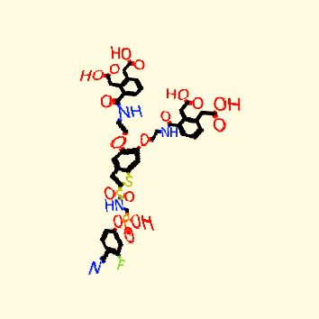 N#Cc1ccc(OP(=O)(O)CNS(=O)(=O)c2cc3cc(OCCNC(=O)c4cccc(CC(=O)O)c4CC(=O)O)c(OCCNC(=O)c4cccc(CC(=O)O)c4CC(=O)O)cc3s2)cc1F